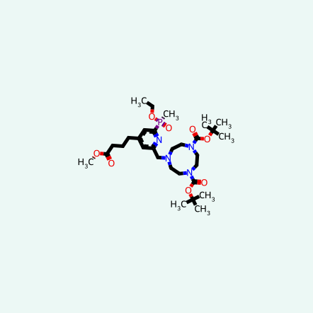 CCOP(C)(=O)c1cc(CCCC(=O)OC)cc(CN2CCN(C(=O)OC(C)(C)C)CCN(C(=O)OC(C)(C)C)CC2)n1